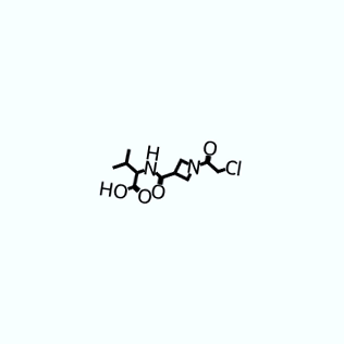 CC(C)C(NC(=O)C1CN(C(=O)CCl)C1)C(=O)O